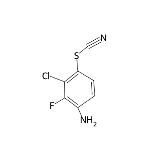 N#CSc1ccc(N)c(F)c1Cl